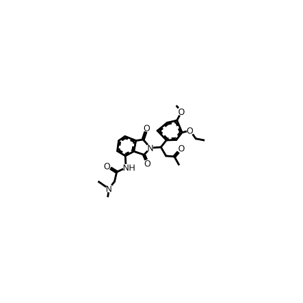 CCOc1cc(C(CC(C)=O)N2C(=O)c3cccc(NC(=O)CN(C)C)c3C2=O)ccc1OC